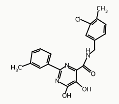 Cc1cccc(-c2nc(O)c(O)c(C(=O)NCc3ccc(C)c(Cl)c3)n2)c1